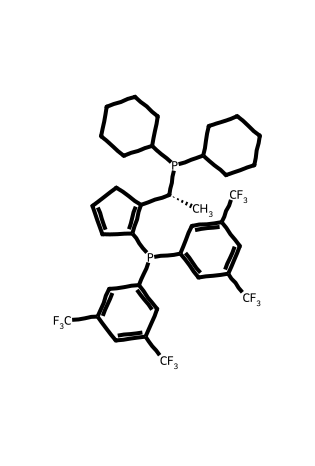 C[C@H](C1=C(P(c2cc(C(F)(F)F)cc(C(F)(F)F)c2)c2cc(C(F)(F)F)cc(C(F)(F)F)c2)C=CC1)P(C1CCCCC1)C1CCCCC1